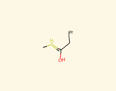 C[SH]=C(O)CC(C)C